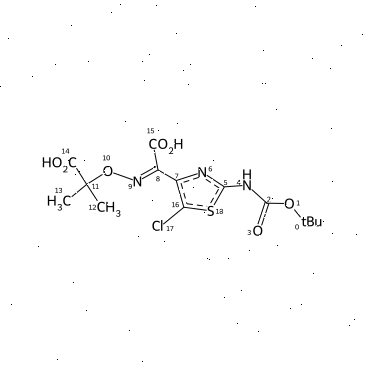 CC(C)(C)OC(=O)Nc1nc(/C(=N/OC(C)(C)C(=O)O)C(=O)O)c(Cl)s1